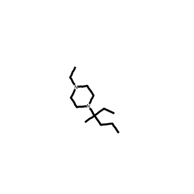 CCCC(C)(CC)N1CCN(CC)CC1